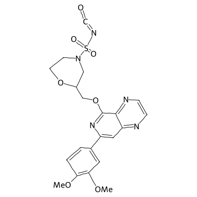 COc1ccc(-c2cc3nccnc3c(OCC3CN(S(=O)(=O)N=C=O)CCO3)n2)cc1OC